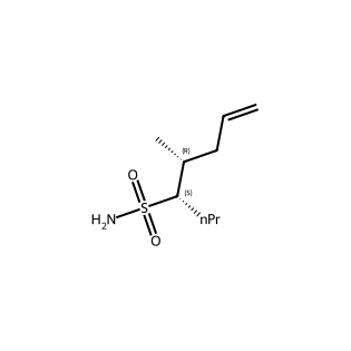 C=CC[C@@H](C)[C@H](CCC)S(N)(=O)=O